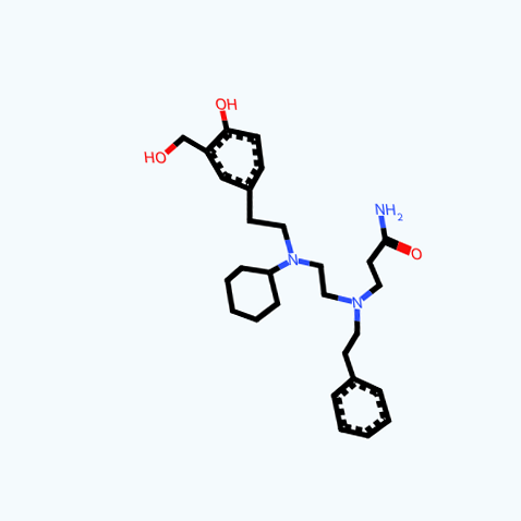 NC(=O)CCN(CCc1ccccc1)CCN(CCc1ccc(O)c(CO)c1)C1CCCCC1